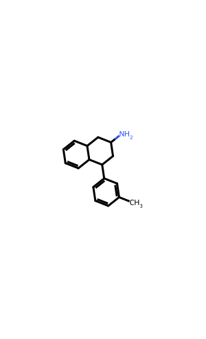 Cc1cccc(C2CC(N)CC3C=CC=CC32)c1